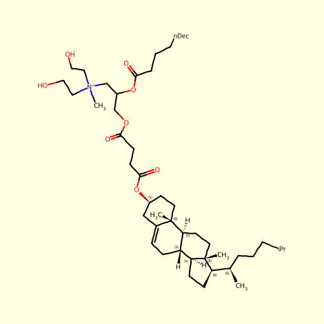 CCCCCCCCCCCCCC(=O)OC(COC(=O)CCC(=O)O[C@H]1CC[C@@]2(C)C(=CC[C@H]3[C@@H]4CC[C@H]([C@H](C)CCCC(C)C)[C@@]4(C)CC[C@@H]32)C1)C[N+](C)(CCO)CCO